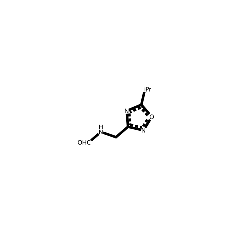 CC(C)c1nc(CNC=O)no1